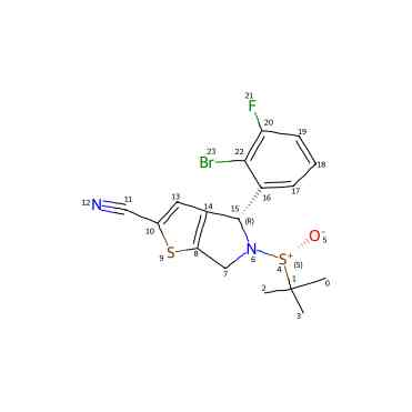 CC(C)(C)[S@@+]([O-])N1Cc2sc(C#N)cc2[C@@H]1c1cccc(F)c1Br